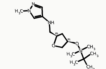 Cn1cc(NC[C@H]2C[C@@H](O[Si](C)(C)C(C)(C)C)CO2)cn1